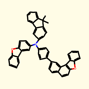 CC1(C)c2ccccc2-c2cc(N(c3ccc(-c4ccc5ccc6oc7ccccc7c6c5c4)cc3)c3ccc4oc5ccccc5c4c3)ccc21